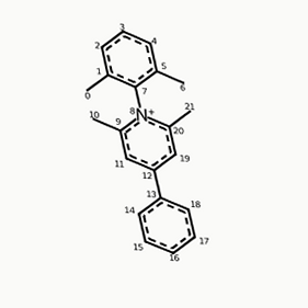 Cc1cccc(C)c1-[n+]1c(C)cc(-c2ccccc2)cc1C